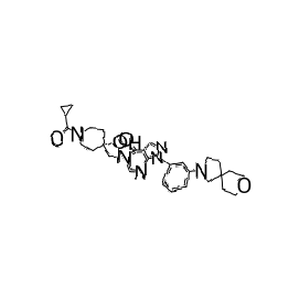 O=C(C1CC1)N1CCC(O)(Cn2cnc3c(cnn3-c3cccc(N4CCC5(CCOCC5)C4)c3)c2=O)CC1